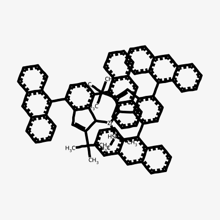 C[SiH](C)[Zr]([CH]1C(C(C)(C)C)=Cc2c(-c3c4ccccc4cc4ccccc34)ccc(-c3c4ccccc4cc4ccccc34)c21)[CH]1C(C(C)(C)C)=Cc2c(-c3c4ccccc4cc4ccccc34)ccc(-c3c4ccccc4cc4ccccc34)c21